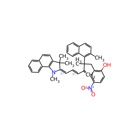 C=C(/C=C/C=C1/N(C)c2c(ccc3ccccc23)C1(C)C)C(C)(Cc1cc([N+](=O)[O-])ccc1O)c1c(C)ccc2ccccc12